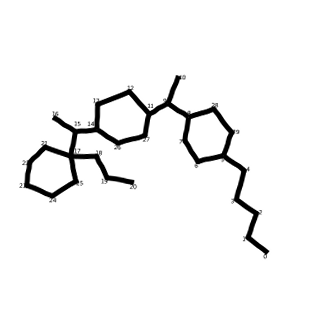 CCCCCC1CCC(C(C)C2CCC(C(C)C3(CCC)CCCCC3)CC2)CC1